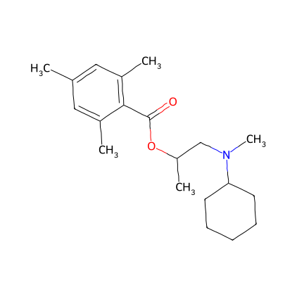 Cc1cc(C)c(C(=O)OC(C)CN(C)C2CCCCC2)c(C)c1